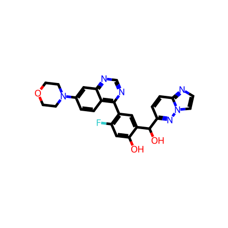 Oc1cc(F)c(-c2ncnc3cc(N4CCOCC4)ccc23)cc1C(O)c1ccc2nccn2n1